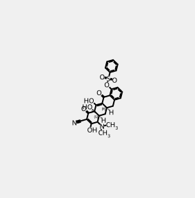 CN(C)C1C(O)=C(C#N)C(=O)[C@@]2(O)C(O)=C3C(=O)c4c(cccc4OS(=O)(=O)c4ccccc4)C[C@H]3C[C@@H]12